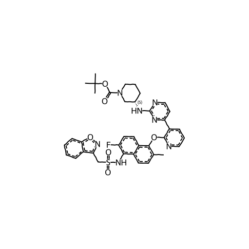 Cc1ccc2c(NS(=O)(=O)Cc3noc4ccccc34)c(F)ccc2c1Oc1ncccc1-c1ccnc(N[C@H]2CCCN(C(=O)OC(C)(C)C)C2)n1